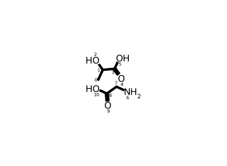 CC(O)C(=O)O.NCC(=O)O